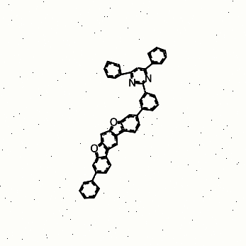 c1ccc(-c2ccc3c(c2)oc2cc4oc5cc(-c6cccc(-c7nc(-c8ccccc8)cc(-c8ccccc8)n7)c6)ccc5c4cc23)cc1